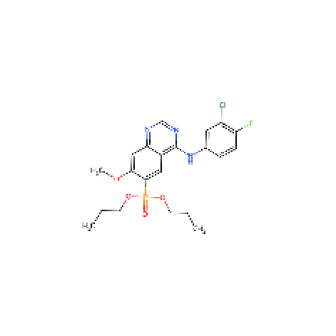 CCCOP(=O)(OCCC)c1cc2c(Nc3ccc(F)c(Cl)c3)ncnc2cc1OC